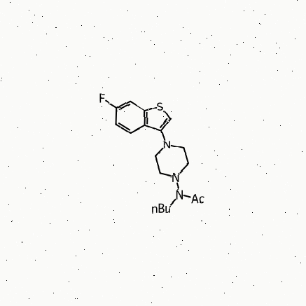 CCCCN(C(C)=O)N1CCN(c2csc3cc(F)ccc23)CC1